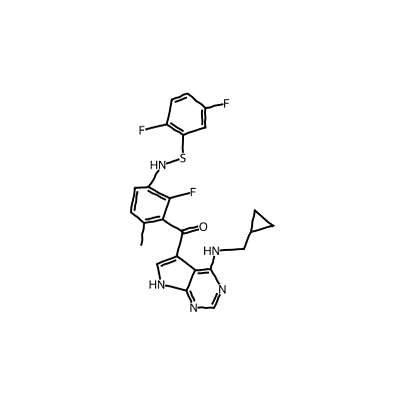 Cc1ccc(NSc2cc(F)ccc2F)c(F)c1C(=O)c1c[nH]c2ncnc(NCC3CC3)c12